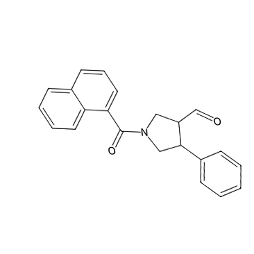 O=CC1CN(C(=O)c2cccc3ccccc23)CC1c1ccccc1